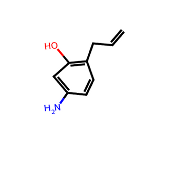 C=CCc1ccc(N)cc1O